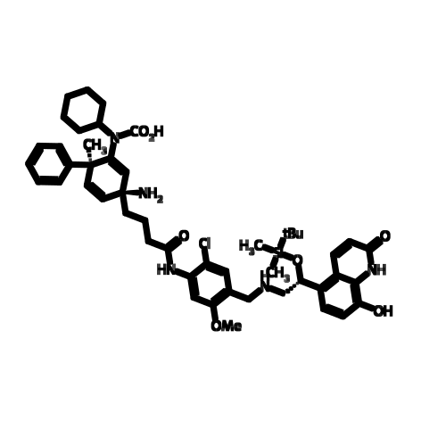 COc1cc(NC(=O)CCC[C@]2(N)C=C[C@@](C)(c3ccccc3)C(N(C(=O)O)C3CCCCC3)=C2)c(Cl)cc1CNC[C@H](O[Si](C)(C)C(C)(C)C)c1ccc(O)c2[nH]c(=O)ccc12